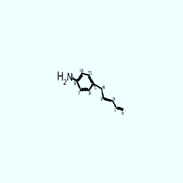 [CH]=CC=CCc1ccc(N)cc1